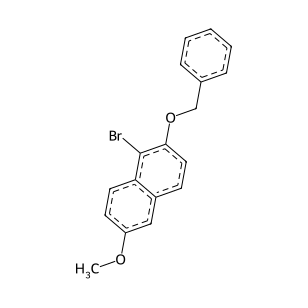 COc1ccc2c(Br)c(OCc3ccccc3)ccc2c1